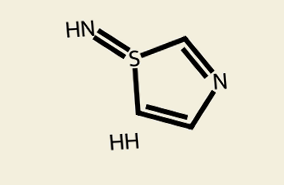 N=S1C=CN=C1.[HH]